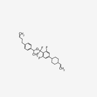 C=CCCc1ccc(C(C)OC(F)(F)c2c(F)cc(C3CCC(C=C)CC3)cc2F)cc1